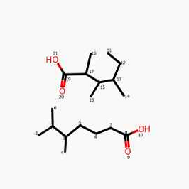 CC(C)C(C)CCCC(=O)O.CCC(C)C(C)C(C)C(=O)O